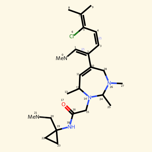 CN/C=C(/C=C\C(Cl)=C(C)C)C1=CC(C)N(CC(=O)NC2(CNC)CC2)C(C)N(C)C1